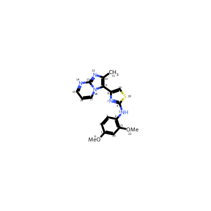 COc1ccc(Nc2nc(-c3c(C)nc4ncccn34)cs2)c(OC)c1